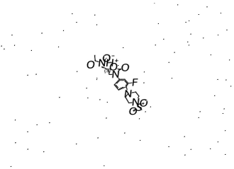 CC(=O)[NH+]([O-])C[C@@H]1CN(c2ccc(N3CCN(S(C)(=O)=O)CC3)c(F)c2)C(=O)O1